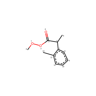 COOC(=O)C(C)c1ccccc1C